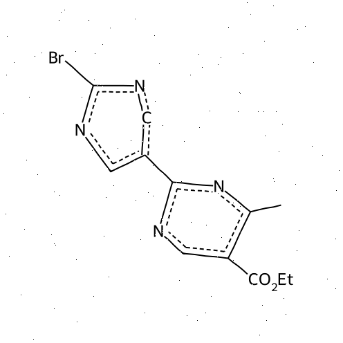 CCOC(=O)c1cnc(-c2cnc(Br)nc2)nc1C